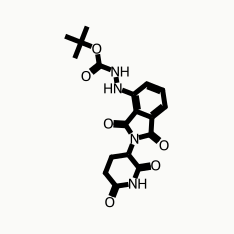 CC(C)(C)OC(=O)NNc1cccc2c1C(=O)N(C1CCC(=O)NC1=O)C2=O